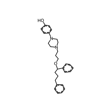 Oc1ccc(N2CCN(CCCOC(CCCc3ccccc3)c3ccccc3)CC2)cc1